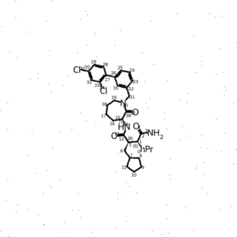 CCC[C@H](C(N)=O)[C@@H](CC1CCCC1)C(=O)N[C@H]1CCCCN(Cc2cccc(-c3ccc(Cl)cc3Cl)c2)C1=O